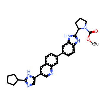 CC(C)(C)OC(=O)N1CCCC1c1nc2ccc(-c3ccc4cc(-c5cnc(C6CCCC6)[nH]5)cnc4c3)cc2[nH]1